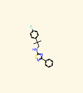 CC(C)(CNc1nc(-c2ccccc2)ns1)c1ccc(F)cc1